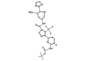 CC(C)(C)OC(=O)Nc1nc(-n2ncc(C(=O)Nc3cnc(-n4nccn4)c(C#N)c3)c2C(F)(F)F)ccc1F